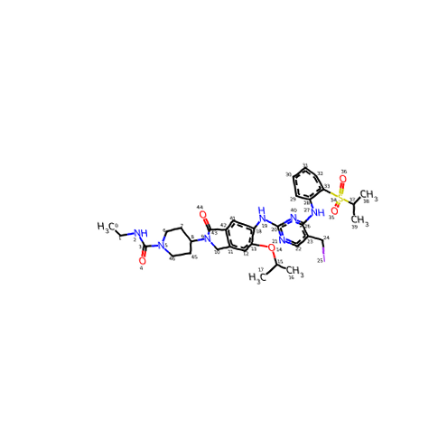 CCNC(=O)N1CCC(N2Cc3cc(OC(C)C)c(Nc4ncc(CI)c(Nc5ccccc5S(=O)(=O)C(C)C)n4)cc3C2=O)CC1